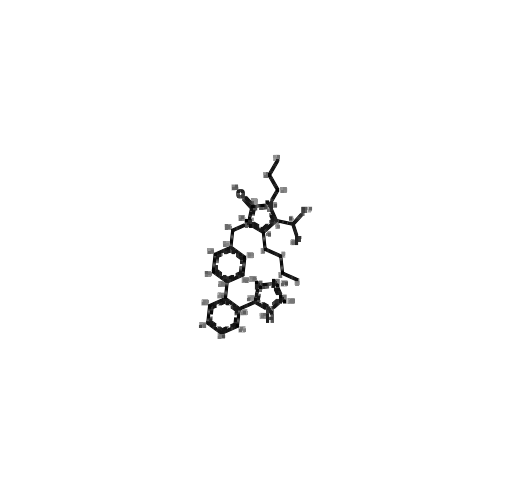 CCCCc1c(C(F)F)n(CCC)c(=O)n1Cc1ccc(-c2ccccc2-c2nnn[nH]2)cc1